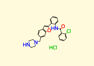 Cl.O=C(Nc1ccccc1-c1cc2ccc(CN3CCNCC3)cc2o1)c1ccccc1Cl